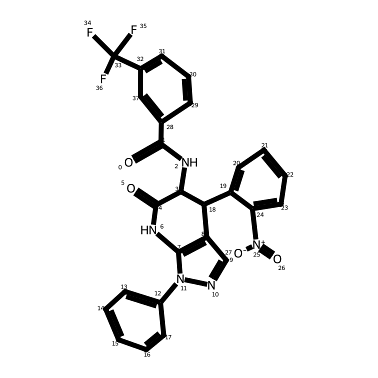 O=C(NC1C(=O)Nc2c(cnn2-c2ccccc2)C1c1ccccc1[N+](=O)[O-])c1cccc(C(F)(F)F)c1